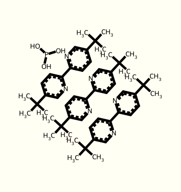 CC(C)(C)c1ccc(-c2ccc(C(C)(C)C)cn2)nc1.CC(C)(C)c1ccc(-c2ccc(C(C)(C)C)cn2)nc1.CC(C)(C)c1ccc(-c2ccc(C(C)(C)C)cn2)nc1.OP(O)O